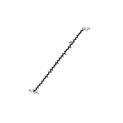 C[SiH2]CCCCCCCCCCCCCCCCCCCCCCCCCCCCCCCCCCCCCCCCCNCCCCCCCCCCCC(=O)O